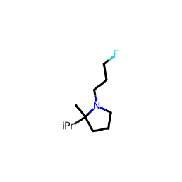 CC(C)C1(C)CCCN1CCCF